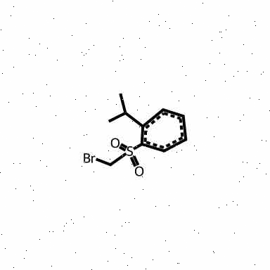 CC(C)c1ccccc1S(=O)(=O)CBr